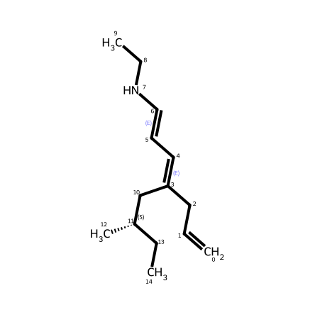 C=CC/C(=C/C=C/NCC)C[C@@H](C)CC